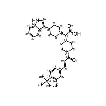 O=C(O)C(C1CCN(C(=O)C=Cc2ccc(C(F)(F)F)c(F)c2)CC1)N1CCC(c2c[nH]c3ccccc23)CC1